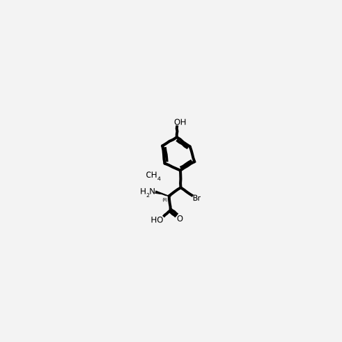 C.N[C@H](C(=O)O)C(Br)c1ccc(O)cc1